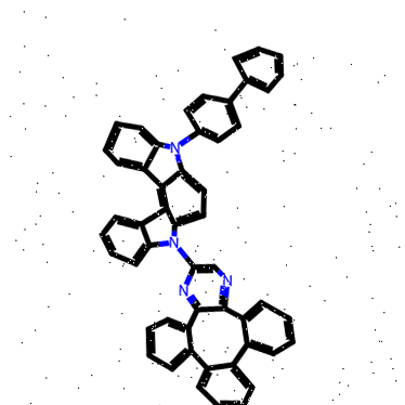 c1ccc(-c2ccc(-n3c4ccccc4c4c5c6ccccc6n(-c6cnc7c(n6)-c6ccccc6-c6ccccc6-c6ccccc6-7)c5ccc43)cc2)cc1